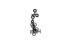 O=C(OCn1cc(F)c(=O)[nH]c1=O)Oc1ccc(C2CCN(CC(c3ccccc3)c3ccccc3)CC2)cc1